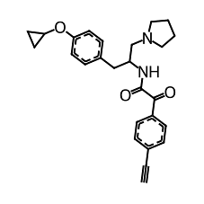 C#Cc1ccc(C(=O)C(=O)NC(Cc2ccc(OC3CC3)cc2)CN2CCCC2)cc1